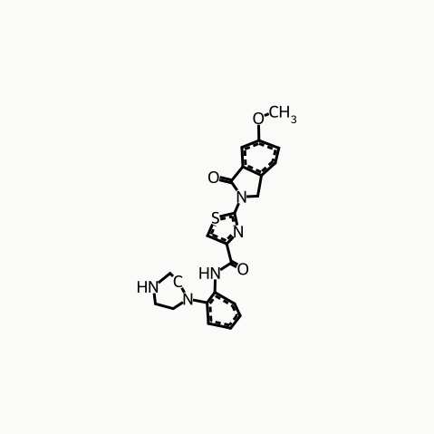 COc1ccc2c(c1)C(=O)N(c1nc(C(=O)Nc3ccccc3N3CCNCC3)cs1)C2